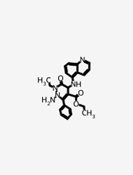 CCOC(=O)C1=C(c2ccccc2)N(N)N(CC)C(=O)C1Nc1cccc2ncccc12